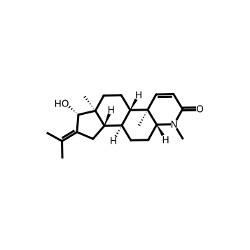 CC(C)=C1C[C@H]2[C@@H]3CC[C@H]4N(C)C(=O)C=C[C@]4(C)[C@H]3CC[C@]2(C)[C@H]1O